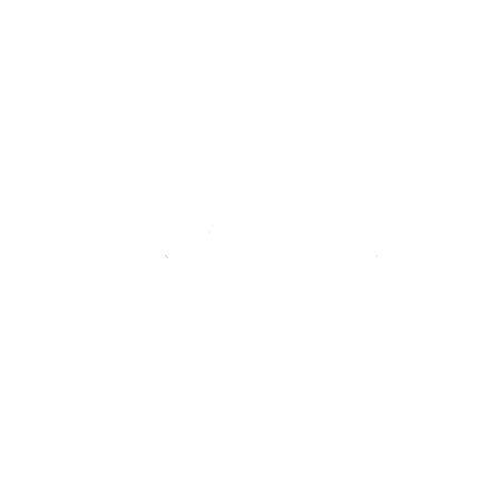 CC1(C)c2ccccc2Oc2ccc(-c3ccc(-c4ccc5c(c4)C4(c6ccccc6-5)c5ccccc5-c5ccc6ccccc6c54)cc3)cc21